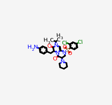 CC(C)N1C=C2N(C(=O)C(N3CCCCC3)CN2S(=O)(=O)c2ccc(Cl)cc2Cl)C(Cc2ccc(N)cc2)C1=O